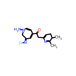 CC1=NC(CC(=O)C2=C/C(=N/F)CN(N)C=C2)=CCC1C